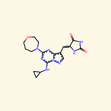 O=C1NC(=O)/C(=C/c2cnn3c(NC4CC4)nc(N4CCCOCC4)nc23)N1